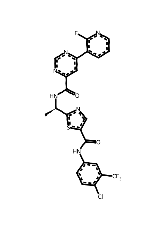 C[C@@H](NC(=O)c1cc(-c2cccnc2F)ncn1)c1ncc(C(=O)Nc2ccc(Cl)c(C(F)(F)F)c2)s1